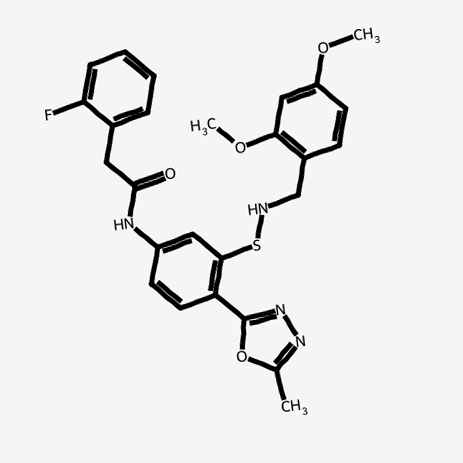 COc1ccc(CNSc2cc(NC(=O)Cc3ccccc3F)ccc2-c2nnc(C)o2)c(OC)c1